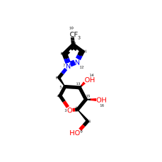 OC[C@H]1OC[C@@H](Cn2cc(C(F)(F)F)cn2)[C@@H](O)[C@H]1O